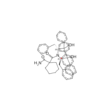 NC(=O)C1(C(=O)N([C@H](Cc2ccccc2)C(O)(c2ccccc2)c2ccccc2)[C@H](Cc2ccccc2)C(O)(c2ccccc2)c2ccccc2)CCCCC1